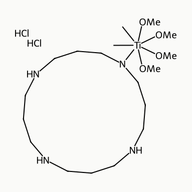 C[O][Ti]([CH3])([CH3])([O]C)([O]C)([O]C)[N]1CCCNCCCNCCCNCCC1.Cl.Cl